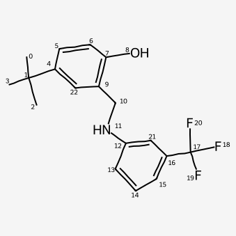 CC(C)(C)c1ccc(O)c(CNc2cccc(C(F)(F)F)c2)c1